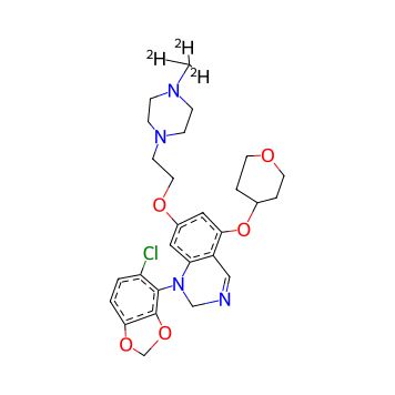 [2H]C([2H])([2H])N1CCN(CCOc2cc(OC3CCOCC3)c3c(c2)N(c2c(Cl)ccc4c2OCO4)CN=C3)CC1